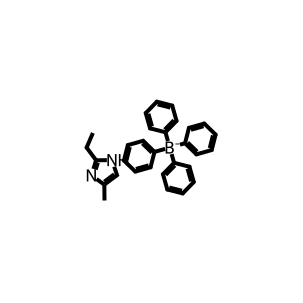 CCc1nc(C)c[nH]1.c1ccc([B-](c2ccccc2)(c2ccccc2)c2ccccc2)cc1